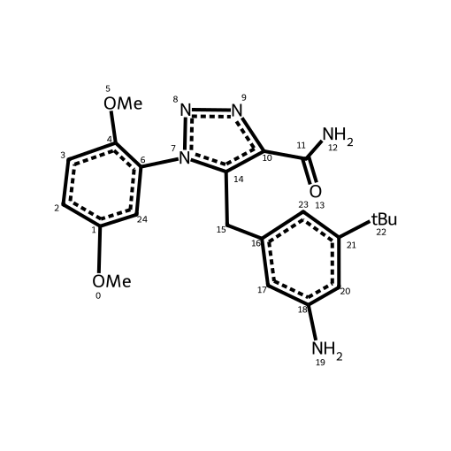 COc1ccc(OC)c(-n2nnc(C(N)=O)c2Cc2cc(N)cc(C(C)(C)C)c2)c1